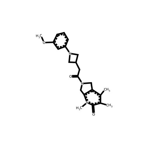 COc1cccc(N2CC(CC(=O)N3Cc4c(C)c(C)c(=O)n(C)c4C3)C2)c1